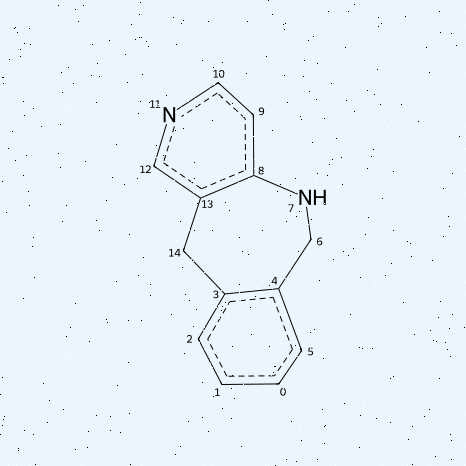 c1ccc2c(c1)CNc1ccncc1C2